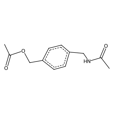 CC(=O)NCc1ccc(COC(C)=O)cc1